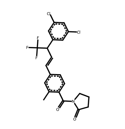 Cc1cc(/C=C/C(c2cc(Cl)cc(Cl)c2)C(F)(F)F)ccc1C(=O)N1CCCC1=O